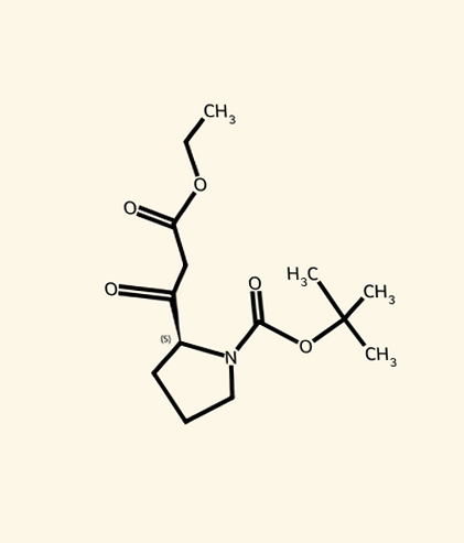 CCOC(=O)CC(=O)[C@@H]1CCCN1C(=O)OC(C)(C)C